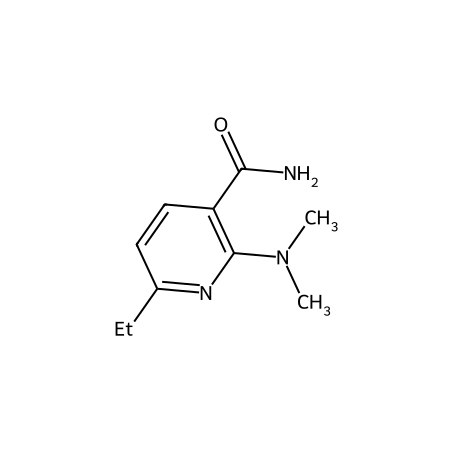 CCc1ccc(C(N)=O)c(N(C)C)n1